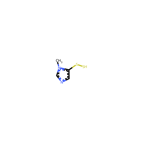 Cn1cncc1SS